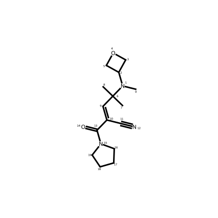 CN(C1COC1)C(C)(C)/C=C(\C#N)C(=O)N1CCCC1